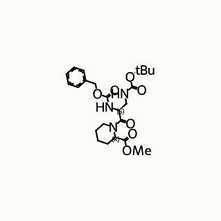 COC(=O)[C@H]1CCCCN1C(=O)[C@H](CNC(=O)OC(C)(C)C)NC(=O)OCc1ccccc1